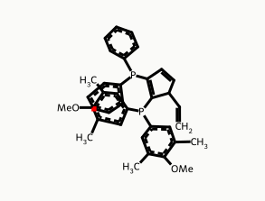 C=CC1C=CC(P(c2ccccc2)c2ccccc2)=C1P(c1cc(C)c(OC)c(C)c1)c1cc(C)c(OC)c(C)c1